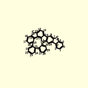 c1ccc2c(c1)sc1cc3c4ccc5sc6cccc7c8ccccc8c8ccccc8n(c3cc12)c4c5c67